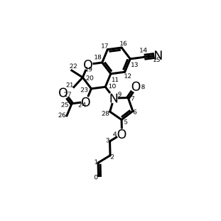 C=CCCOC1=CC(=O)N(C2c3cc(C#N)ccc3OC(C)(C)C2OC(C)=O)C1